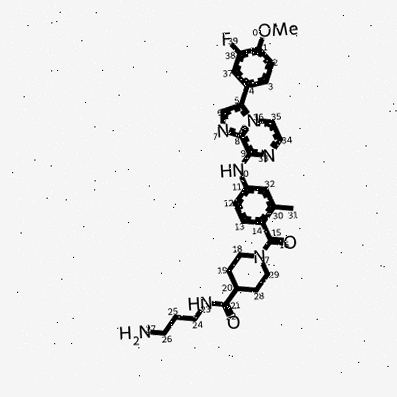 COc1ccc(-c2cnc3c(Nc4ccc(C(=O)N5CCC(C(=O)NCCCN)CC5)c(C)c4)nccn23)cc1F